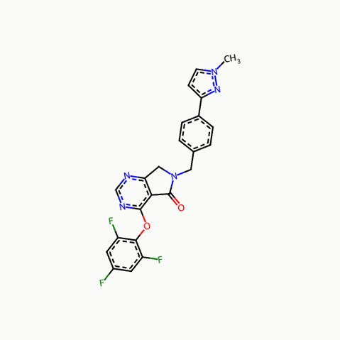 Cn1ccc(-c2ccc(CN3Cc4ncnc(Oc5c(F)cc(F)cc5F)c4C3=O)cc2)n1